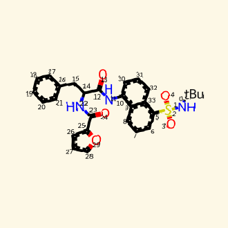 CC(C)(C)NS(=O)(=O)c1cccc2c(NC(=O)C(Cc3ccccc3)NC(=O)c3ccco3)cccc12